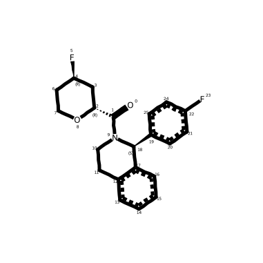 O=C([C@H]1C[C@H](F)CCO1)N1CCc2ccccc2[C@@H]1c1ccc(F)cc1